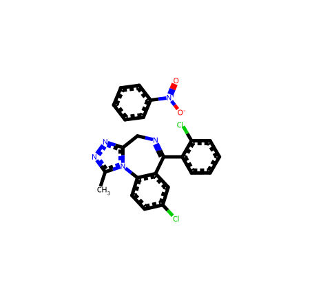 Cc1nnc2n1-c1ccc(Cl)cc1C(c1ccccc1Cl)=NC2.O=[N+]([O-])c1ccccc1